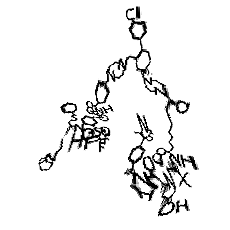 Cc1ncsc1-c1ccc([C@H](C)NC(=O)[C@@H]2C[C@@H](O)CN2C(=O)[C@@H](NC(=O)CCCCCCC(=O)N2CCN(C[C@]3(C)CCC(c4ccc(Cl)cc4)=C(CN4CCN(c5ccc(C(=O)NS(=O)(=O)c6ccc(N[C@H](CCN7CC8CCC7C8)CSc7ccccc7)c(S(=O)(=O)C(F)(F)F)c6)cc5)CC4)C3)CC2)C(C)(C)C)cc1